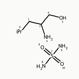 CC(C)CC(N)CO.NS(N)(=O)=O